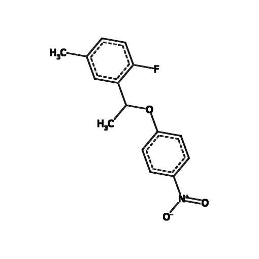 Cc1ccc(F)c(C(C)Oc2ccc([N+](=O)[O-])cc2)c1